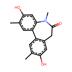 Cc1cc2c(cc1O)CC(=O)N(C)c1cc(O)c(C)cc1-2